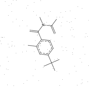 C=C(C)N(C)C(=C)c1ccc(C(C)(C)C)cc1C